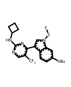 CCCCc1ccc2c(-c3nc(NC4CCC4)ncc3C(F)(F)F)cn(SF)c2c1